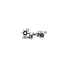 CCCCc1ncc(/C=C/CC(NC)(C(=O)O)c2cccs2)n1Cc1ccccc1Cl